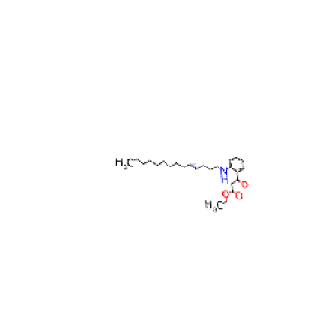 CCCCCCCCC/C=C/CCCNc1ccccc1C(=O)CC(=O)OCC